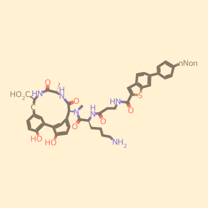 CCCCCCCCCc1ccc(-c2ccc3cc(C(=O)NCCC(=O)N[C@@H](CCCCN)C(=O)N(C)[C@@H]4C(=O)N[C@@H](C)C(=O)N[C@H](C(=O)O)Cc5ccc(O)c(c5)-c5cc4ccc5O)sc3c2)cc1